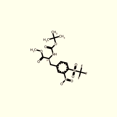 COC(=O)[C@H](Cc1ccc(S(=O)(=O)C(F)(F)F)c([N+](=O)[O-])c1)NC(=O)OC(C)(C)C